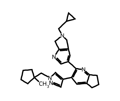 CC1(Cn2cc(-c3cc4c(nc3-c3cnc5c(c3)CN(CC3CC3)C5)CCC4)cn2)CCCC1